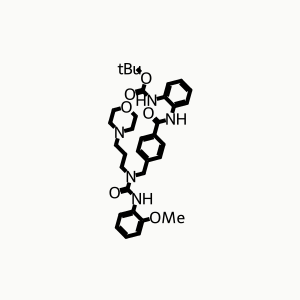 COc1ccccc1NC(=O)N(CCCN1CCOCC1)Cc1ccc(C(=O)Nc2ccccc2NC(=O)OC(C)(C)C)cc1